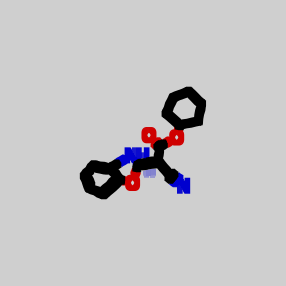 N#C/C(C(=O)OC1CCCCC1)=C1/Nc2ccccc2O1